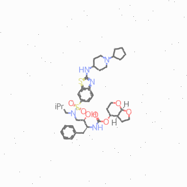 CC(C)CN(C[C@@H](O)[C@H](Cc1ccccc1)NC(=O)O[C@H]1CCO[C@H]2OCC[C@H]21)S(=O)(=O)c1ccc2nc(NC3CCN(C4CCCC4)CC3)sc2c1